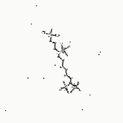 C[Si](Cl)(Cl)CCCN(CCCCCCN([Si](C)(C)C)[Si](C)(C)C)[Si](C)(C)C